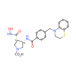 O=C(N[C@@H]1CN(C(=O)O)C[C@@H]1C(=O)NO)c1ccc(CN2CCSc3ccccc32)cc1